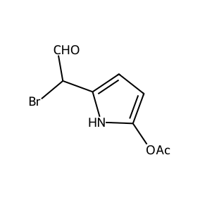 CC(=O)Oc1ccc(C(Br)C=O)[nH]1